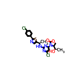 C[C@H](Nc1nc(Cl)cc(N2C(=O)OCC2[C@@H](C)O)n1)c1cnc(-c2ccc(Cl)cc2)s1